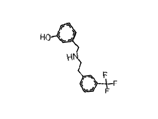 Oc1cccc(CNCCc2cccc(C(F)(F)F)c2)c1